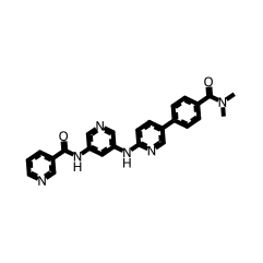 CN(C)C(=O)c1ccc(-c2ccc(Nc3cncc(NC(=O)c4cccnc4)c3)nc2)cc1